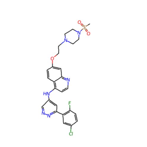 CS(=O)(=O)N1CCN(CCOc2ccc3c(Nc4cnnc(-c5cc(Cl)ccc5F)c4)ccnc3c2)CC1